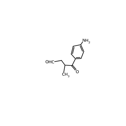 CC(CC=O)C(=O)c1ccc(N)cc1